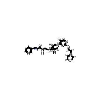 O=C(/C=C/c1cccnc1)NCC[C@@H]1[C@H]2CN(c3nc(OCCN4CCOCC4)ncc3F)C[C@@H]12